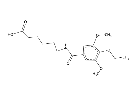 CCOc1c(OC)cc(C(=O)NCCCCCC(=O)O)cc1OC